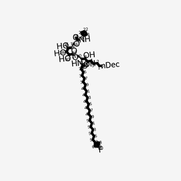 CCCCCCCCCCCCCC[C@@H](O)[C@@H](O)[C@H](CO[C@H]1O[C@H](COC(=O)NC23CC(C2)C3)[C@H](O)[C@H](O)[C@H]1O)NC(=O)CCCCCCCCCCCCCCCCCCCCCCCC12CC(F)(C1)C2